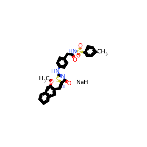 COc1cc2ccccc2cc1/C=C1\SC(Nc2ccc(CC(=O)NS(=O)(=O)c3ccc(C)cc3)cc2)=NC1=O.[NaH]